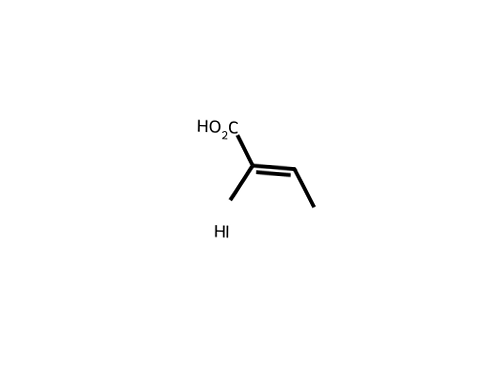 CC=C(C)C(=O)O.I